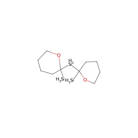 [SiH3]C1([SiH2]C2([SiH3])CCCCO2)CCCCO1